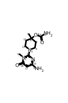 Cn1c(N2CCC(C)(OC(N)=O)CC2)nc(N)cc1=O